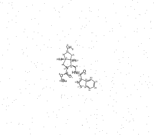 CC1C[C@H]2CN(C(=O)OC(C)(C)C)[C@H](CNC(=O)c3nsc4ccccc34)[C@H]2C1